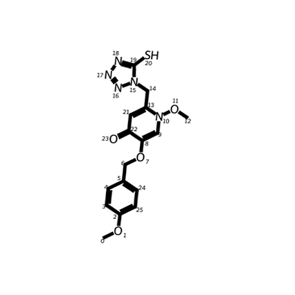 COc1ccc(COc2cn(OC)c(Cn3nnnc3S)cc2=O)cc1